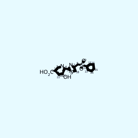 O=C(O)c1cnc(-c2nc(CS(=O)(=O)c3ccccc3)cs2)c(O)c1